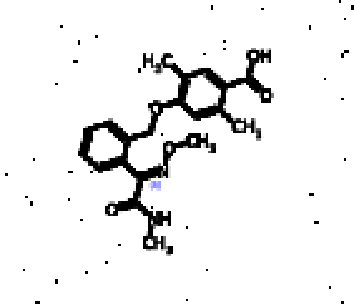 CNC(=O)/C(=N/OC)c1ccccc1COc1cc(C)c(C(=O)O)cc1C